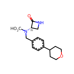 O=C1NC[C@@H]1N(Cc1ccc(C2CCOCC2)cc1)C(=O)O